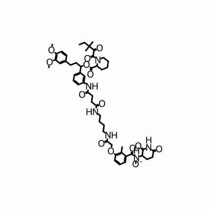 CCC(C)(C)C(=O)C(=O)N1CCCCC1C(=O)OC(CCc1ccc(OC)c(OC)c1)c1cccc(NC(=O)CCC(=O)NCCCCNC(=O)COc2cccc(C(=O)[NH+]([O-])C3CCC(=O)NC3=O)c2C)c1